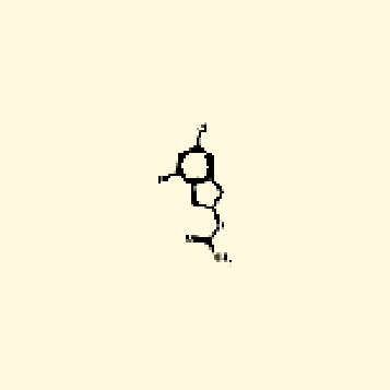 NC(=O)OC1Cc2cc(Cl)cc(F)c2C1